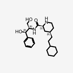 O=C(N[C@H](CO)[C@H](O)c1ccccc1)[C@@H]1C[C@H](CCC2CCCCC2)CCN1